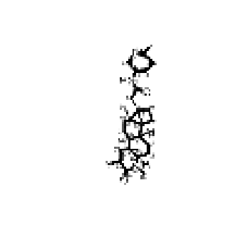 Cc1ccc(NC(=O)C[C@H]2CC[C@H]3[C@@H]4CC[C@H]5N(C)C(=O)C(F)=C[C@]5(C)[C@H]4CC[C@]23C)cn1